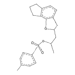 Cc1ccc(S(=O)(=O)OC(C)CC2Cc3ccc4c(c3O2)CCC4)cc1